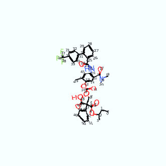 CCC(C)OC(=O)C(COC(=O)Oc1cc(C(=O)N(C)C)c(NC(=O)c2ccccc2-c2ccc(C(F)(F)F)cc2)cc1C)(C(=O)O)c1ccccc1